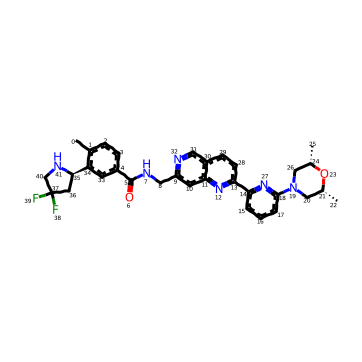 Cc1ccc(C(=O)NCc2cc3nc(-c4cccc(N5C[C@@H](C)O[C@@H](C)C5)n4)ccc3cn2)cc1[C@H]1CC(F)(F)CN1